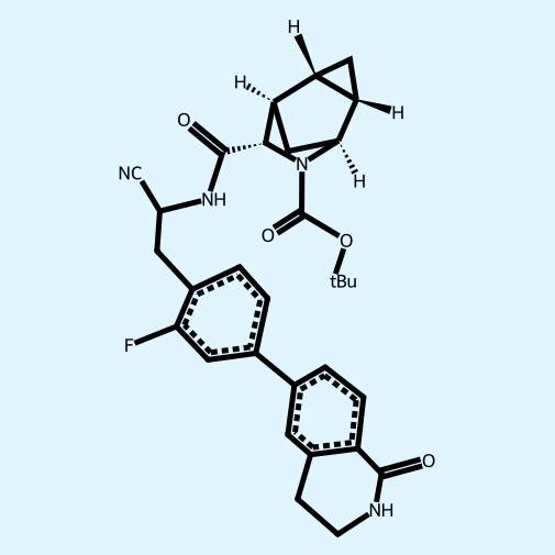 CC(C)(C)OC(=O)N1[C@H](C(=O)NC(C#N)Cc2ccc(-c3ccc4c(c3)CCNC4=O)cc2F)[C@@H]2C[C@H]1[C@H]1C[C@@H]21